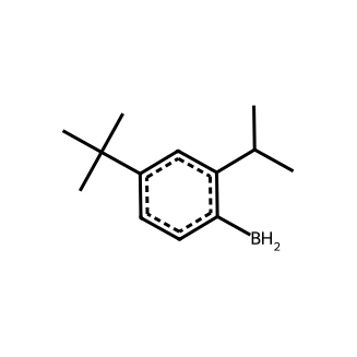 Bc1ccc(C(C)(C)C)cc1C(C)C